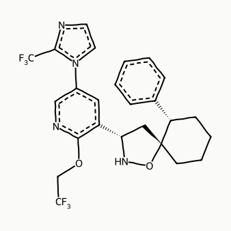 FC(F)(F)COc1ncc(-n2ccnc2C(F)(F)F)cc1[C@@H]1C[C@@]2(CCCC[C@H]2c2ccccc2)ON1